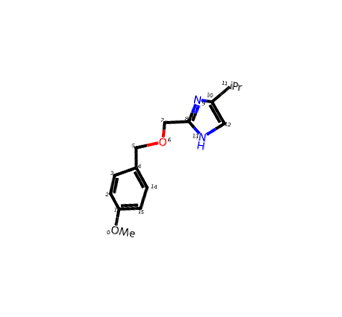 COc1ccc(COCc2nc(C(C)C)c[nH]2)cc1